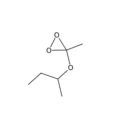 CCC(C)OC1(C)OO1